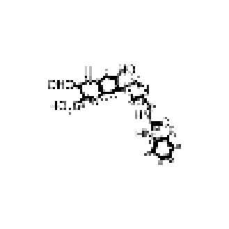 O=CC1Nc2cc([N+](=O)[O-])c(-n3cnc(CNC(=O)Nc4ccccc4F)c3)cc2N=C1C(=O)O